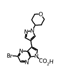 O=C(O)n1cc(-c2cnn(C3CCOCC3)c2)c2nc(Br)cnc21